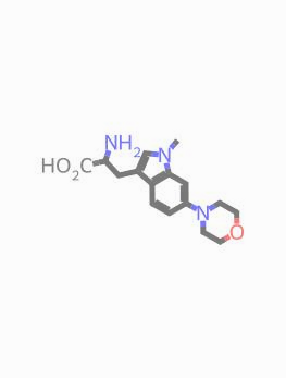 Cn1cc(CC(N)C(=O)O)c2ccc(N3CCOCC3)cc21